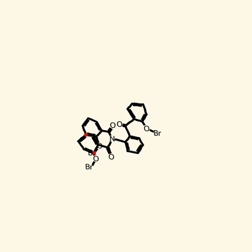 O=C(c1ccccc1OBr)c1ccccc1N(C(=O)c1ccccc1OBr)C(=O)c1ccccc1OBr